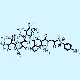 CCC(C)C([C@@H](CC(=O)N1CCC[C@H]1[C@H](OC)[C@@H](C)C(=O)NCC(=O)NS(=O)(=O)c1ccc(N)cc1)OC)N(C)C(=O)[C@@H](NC(=O)C(C(C)C)N(C)C)C(C)C